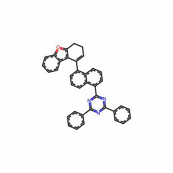 C1=C(c2cccc3c(-c4nc(-c5ccccc5)nc(-c5ccccc5)n4)cccc23)c2c(oc3ccccc23)CC1